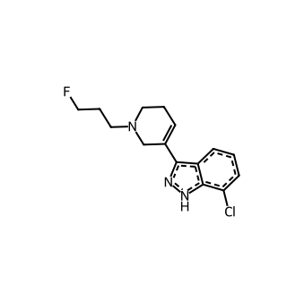 FCCCN1CCC=C(c2n[nH]c3c(Cl)cccc23)C1